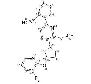 C#Cc1ccccc1-c1ccc(N2CC[C@H](Oc3ncccc3F)C2)c(CO)n1